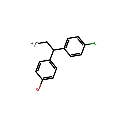 CCC(c1ccc(Cl)cc1)c1ccc(Br)cc1